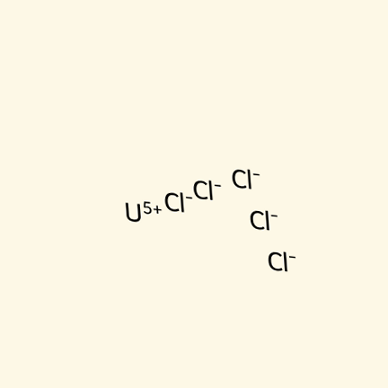 [Cl-].[Cl-].[Cl-].[Cl-].[Cl-].[U+5]